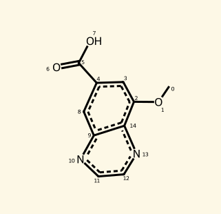 COc1cc(C(=O)O)cc2nccnc12